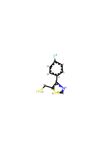 Fc1ccc(-c2ncsc2CS)cc1